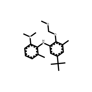 COCOc1c(C)cc(C(C)(C)C)cc1Pc1c(C)cccc1P(C)C